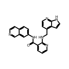 O=C(Nc1ccc2ccncc2c1)c1cccnc1NCc1ccnc2[nH]ccc12